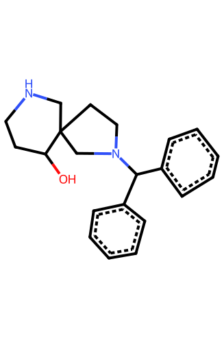 OC1CCNCC12CCN(C(c1ccccc1)c1ccccc1)C2